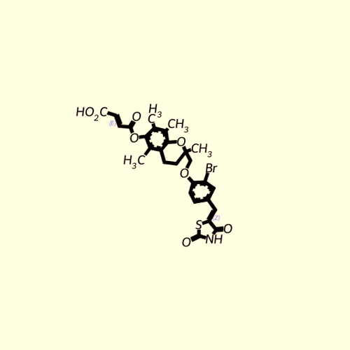 Cc1c(C)c2c(c(C)c1OC(=O)/C=C/C(=O)O)CCC(C)(COc1ccc(/C=C3\SC(=O)NC3=O)cc1Br)O2